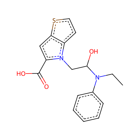 CCN(c1ccccc1)C(O)Cn1c(C(=O)O)cc2sccc21